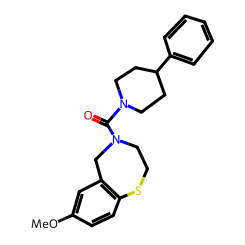 COc1ccc2c(c1)CN(C(=O)N1CCC(c3ccccc3)CC1)CCS2